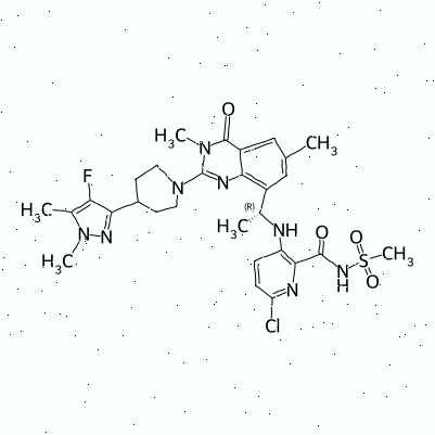 Cc1cc([C@@H](C)Nc2ccc(Cl)nc2C(=O)NS(C)(=O)=O)c2nc(N3CCC(c4nn(C)c(C)c4F)CC3)n(C)c(=O)c2c1